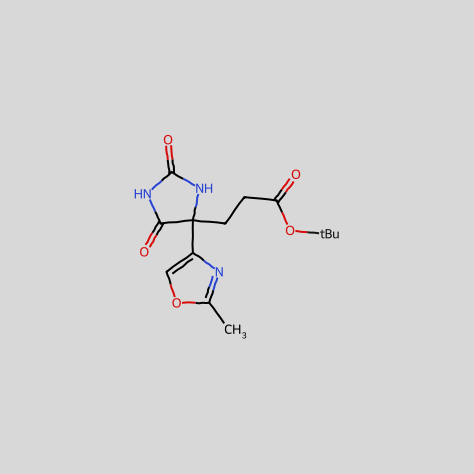 Cc1nc(C2(CCC(=O)OC(C)(C)C)NC(=O)NC2=O)co1